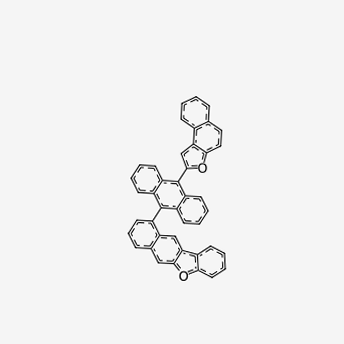 c1cc(-c2c3ccccc3c(-c3cc4c(ccc5ccccc54)o3)c3ccccc23)c2cc3c(cc2c1)oc1ccccc13